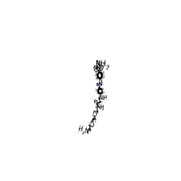 NCCOCCOCCNC(=O)CCNc1ccc(/N=N/c2ccc(S(N)(=O)=O)cc2)cc1